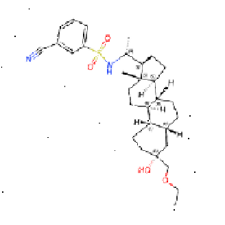 CCOC[C@@]1(O)CC[C@H]2[C@H](CC[C@@H]3[C@@H]2CC[C@]2(C)[C@@H]([C@@H](C)NS(=O)(=O)c4cccc(C#N)c4)CC[C@@H]32)C1